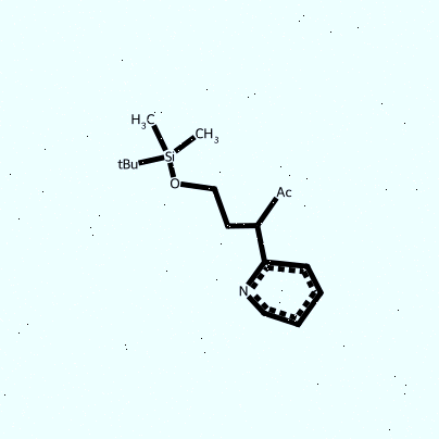 CC(=O)C(CCO[Si](C)(C)C(C)(C)C)c1ccccn1